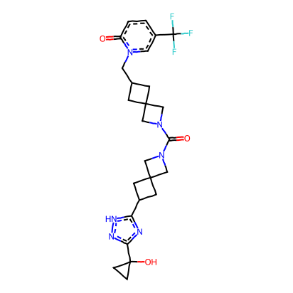 O=C(N1CC2(CC(Cn3cc(C(F)(F)F)ccc3=O)C2)C1)N1CC2(CC(c3nc(C4(O)CC4)n[nH]3)C2)C1